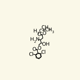 CC(C)(C)OC(=O)CC(N)C(O)COC(=O)c1c(Cl)cccc1Cl